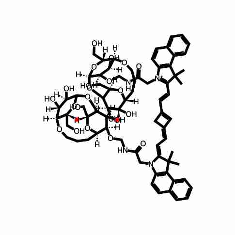 CC1(C)C(/C=C/C2=CC(=C/C=C3/N(CC(=O)NCO[C@@H]4[C@@H](O)[C@@H]5OC6O[C@H](CO)[C@@H](OCCC[C@H]4O[C@@H]5CO)[C@H](O)[C@H]6O)c4ccc5ccccc5c4C3(C)C)/C2)=[N+](CC(=O)NCO[C@H]2[C@H]3OC4[C@@H](CO)O[C@H](CCCO[C@@H]([C@@H]2O)[C@@H](CO)O3)[C@H](O)[C@H]4O)c2ccc3ccccc3c21